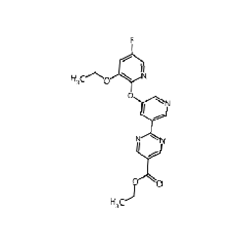 CCOC(=O)c1cnc(-c2cncc(Oc3ncc(F)cc3OCC)c2)nc1